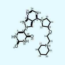 O=c1[nH]cc(-n2cc3c(N4CCC(OCCN5CCCCC5)C4)ncnc3n2)c(=O)[nH]1